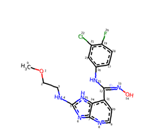 COCCNc1nc2nccc(/C(=N\O)Nc3ccc(F)c(Cl)c3)c2[nH]1